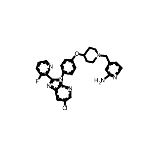 Nc1cc(CN2CCC(Oc3ccc(-n4c(-c5ncccc5F)nc5cc(Cl)cnc54)cc3)CC2)ccn1